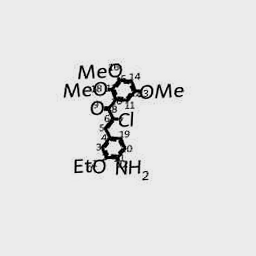 CCOc1cc(C=C(Cl)C(=O)c2cc(OC)cc(OC)c2OC)ccc1N